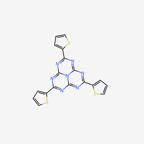 c1csc(C2=NC3=NC(c4cccs4)=NC4=NC(c5cccs5)=NC(=N2)N34)c1